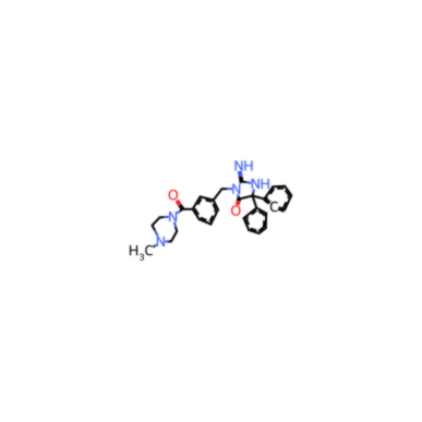 CN1CCN(C(=O)c2cccc(CN3C(=N)NC(c4ccccc4)(c4ccccc4)C3=O)c2)CC1